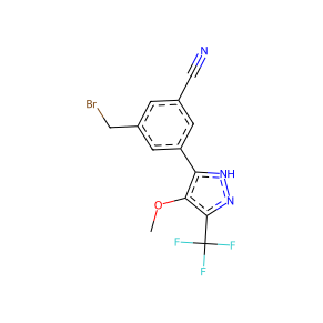 COc1c(C(F)(F)F)n[nH]c1-c1cc(C#N)cc(CBr)c1